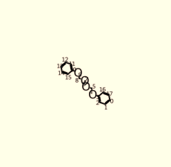 c1ccc(OCOOCOc2ccccc2)cc1